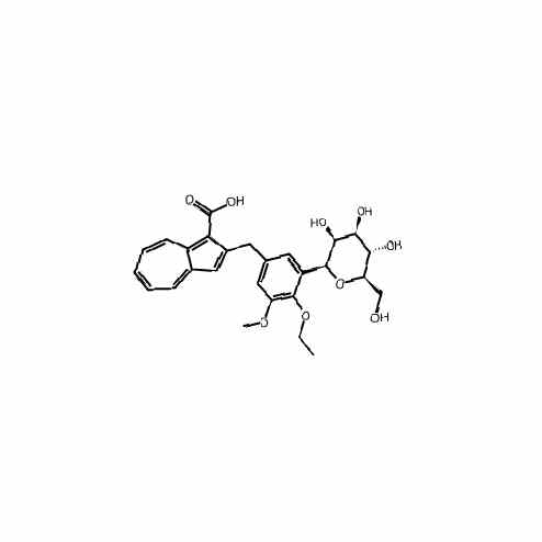 CCOc1c(OC)cc(Cc2cc3cccccc-3c2C(=O)O)cc1[C@@H]1O[C@H](CO)[C@@H](O)[C@H](O)[C@@H]1O